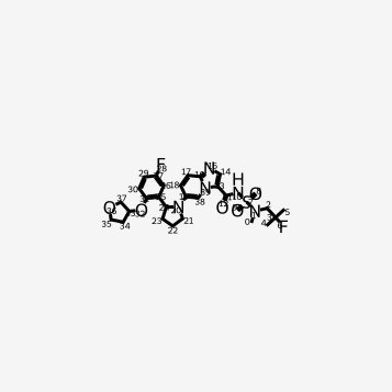 CN(CC(C)(C)F)S(=O)(=O)NC(=O)c1cnc2ccc(N3CCCC3c3cc(F)ccc3OC3CCOC3)cn12